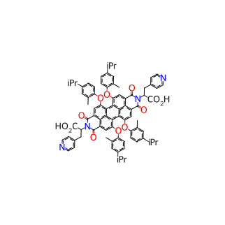 Cc1cc(C(C)C)ccc1Oc1cc2c3c(cc(Oc4ccc(C(C)C)cc4C)c4c5c(Oc6ccc(C(C)C)cc6C)cc6c7c(cc(Oc8ccc(C(C)C)cc8C)c(c1c34)c75)C(=O)N(C(Cc1ccncc1)C(=O)O)C6=O)C(=O)N(C(Cc1ccncc1)C(=O)O)C2=O